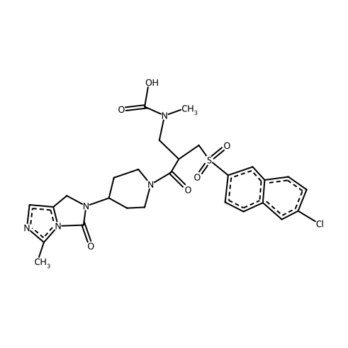 Cc1ncc2n1C(=O)N(C1CCN(C(=O)C(CN(C)C(=O)O)CS(=O)(=O)c3ccc4cc(Cl)ccc4c3)CC1)C2